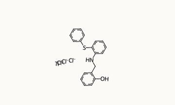 Oc1ccccc1CNc1ccccc1Sc1ccccc1.[Cl-].[Cl-].[Cl-].[Ti+3]